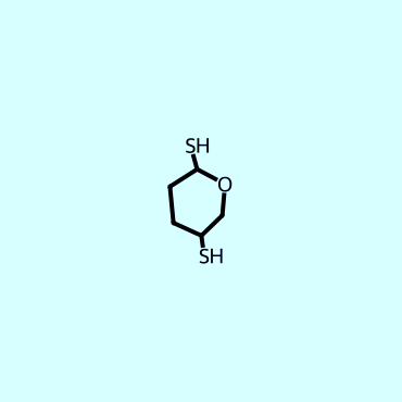 SC1CCC(S)OC1